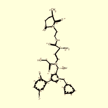 CC1CC(=O)N(CCNC(=O)[C@@H](N)CCN(C(=O)CO)[C@@H](c2cc(-c3cc(F)ccc3F)cn2Cc2ccccc2)C(C)(C)C)C1=O